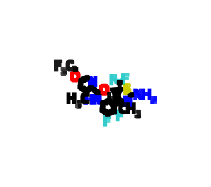 Cc1cc(OCC(F)(F)F)cnc1C(=O)Nc1cc(F)c(F)c([C@@]2(C)N=C(N)S[C@@]3(C(F)F)C[C@@H]23)c1